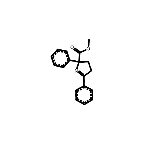 COC(=O)C1(c2ccccc2)CCC(c2ccccc2)=N1